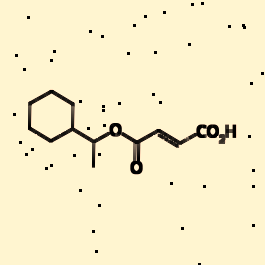 CC(OC(=O)C=CC(=O)O)C1CCCCC1